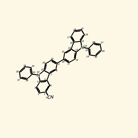 N#Cc1ccc2c(c1)c1cc(-c3ccc4c(c3)c3ccccc3n4-c3ccccc3)ccc1n2-c1ccccc1